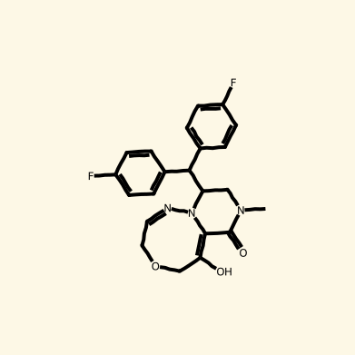 CN1CC(C(c2ccc(F)cc2)c2ccc(F)cc2)N2/N=C\COC/C(O)=C\2C1=O